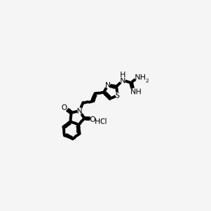 Cl.N=C(N)Nc1nc(/C=C/CN2C(=O)c3ccccc3C2=O)cs1